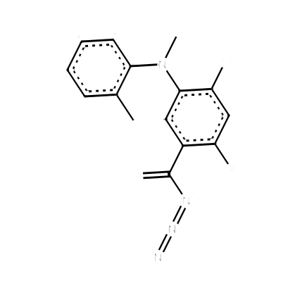 Cc1ccccc1N(C)c1cc(C(=O)N=[N+]=[N-])c(F)cc1Cl